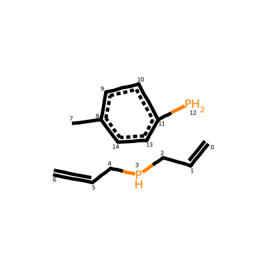 C=CCPCC=C.Cc1ccc(P)cc1